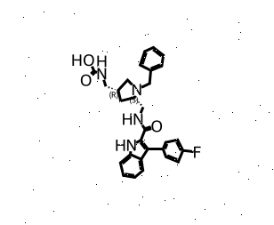 O=C(O)NC[C@H]1C[C@@H](CNC(=O)c2[nH]c3ccccc3c2-c2ccc(F)cc2)N(Cc2ccccc2)C1